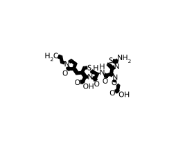 C=CCN1CC/C(=C\C2=C(C(=O)O)N3C(=O)[C@@H](NC(=O)/C(=N\OCC(=O)O)c4csc(N)n4)[C@H]3SC2)C1=O